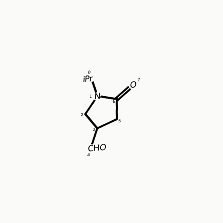 CC(C)N1CC(C=O)CC1=O